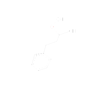 COC(C)CCc1ccccc1